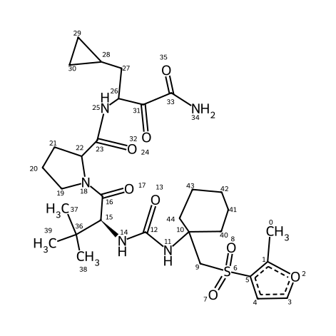 Cc1occc1S(=O)(=O)CC1(NC(=O)N[C@H](C(=O)N2CCCC2C(=O)NC(CC2CC2)C(=O)C(N)=O)C(C)(C)C)CCCCC1